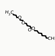 CCCCCCCCOC(=O)CCCOCCOCCCC